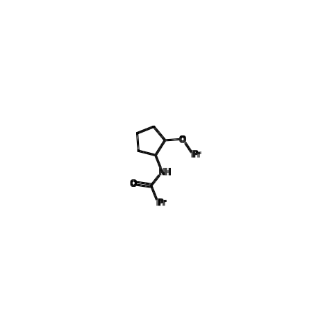 CC(C)OC1CCCC1NC(=O)C(C)C